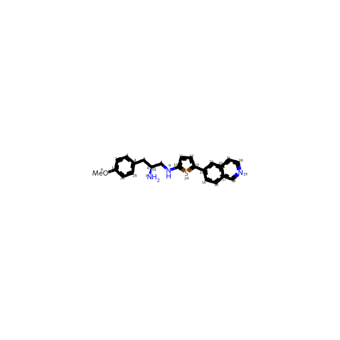 COc1ccc(C[C@H](N)CNc2ccc(-c3ccc4cnccc4c3)s2)cc1